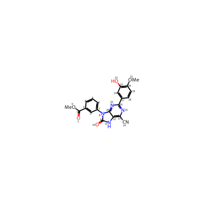 COC(=O)c1cccc(-n2c(=O)[nH]c3c(C#N)nc(-c4ccc(OC)c(O)c4)nc32)c1